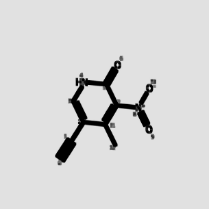 C#Cc1c[nH]c(=O)c([N+](=O)[O-])c1C